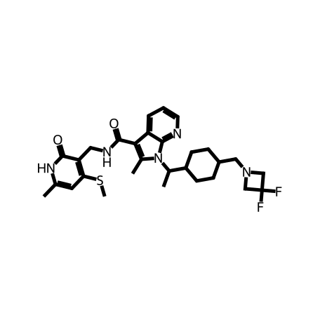 CSc1cc(C)[nH]c(=O)c1CNC(=O)c1c(C)n(C(C)C2CCC(CN3CC(F)(F)C3)CC2)c2ncccc12